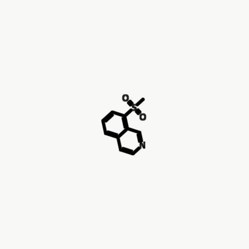 CS(=O)(=O)c1cccc2ccncc12